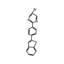 Brc1cnc(-c2ccc(-c3cc4ccccc4s3)cc2)nc1